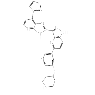 c1cc(-c2ccoc2)c2nc(-c3n[nH]c4ccc(-c5cncc(OC6CCNCC6)c5)nc34)[nH]c2n1